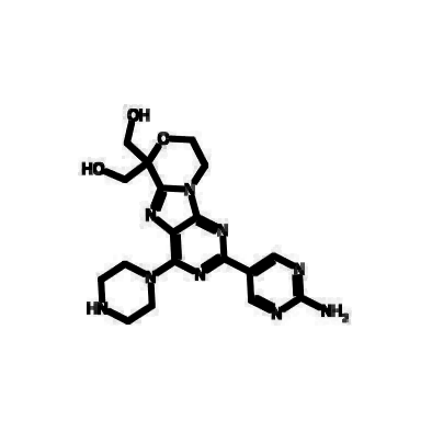 Nc1ncc(-c2nc(N3CCNCC3)c3nc4n(c3n2)CCOC4(CO)CO)cn1